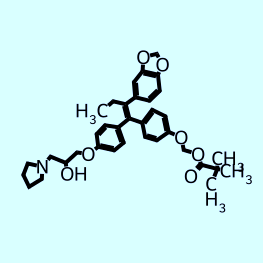 CCC(=C(c1ccc(OCOC(=O)C(C)(C)C)cc1)c1ccc(OCC(O)CN2CCCC2)cc1)c1ccc2c(c1)OCO2